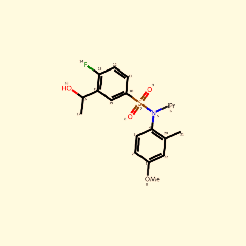 COc1ccc(N(C(C)C)S(=O)(=O)c2ccc(F)c(C(C)O)c2)c(C)c1